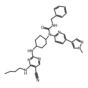 CCCCNc1nc(NC2CCC(N(C(=O)NCc3ccccc3)c3ccc(-c4cnn(C)c4)cn3)CC2)ncc1C#N